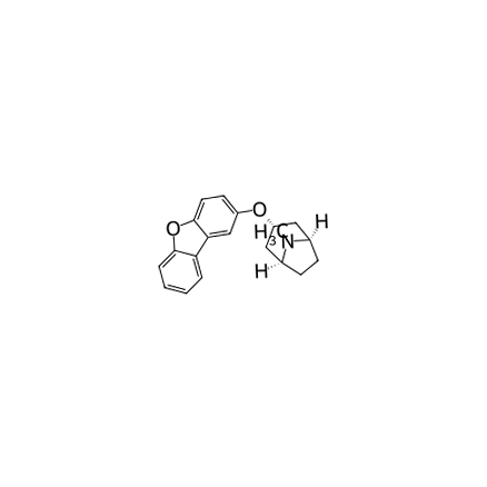 CN1[C@@H]2CC[C@H]1C[C@H](Oc1ccc3oc4ccccc4c3c1)C2